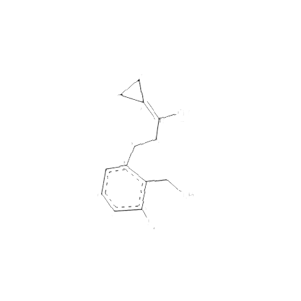 CCc1c(F)cccc1CCC(C)=C1CC1